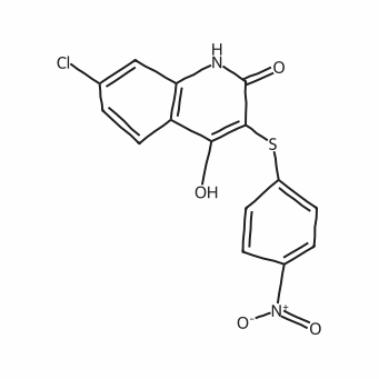 O=c1[nH]c2cc(Cl)ccc2c(O)c1Sc1ccc([N+](=O)[O-])cc1